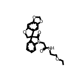 CCOCCNC(=O)CN1C(=O)C2(COc3cc4c(cc32)OCO4)c2ccccc21